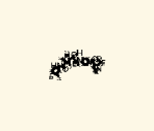 CCC1(NC(=O)C(=O)c2c(C)c(C(=O)Nc3ccc(F)c(C)c3)c(C)n2C)CCN(C(=O)c2cn(C)nc2C(F)F)CC1